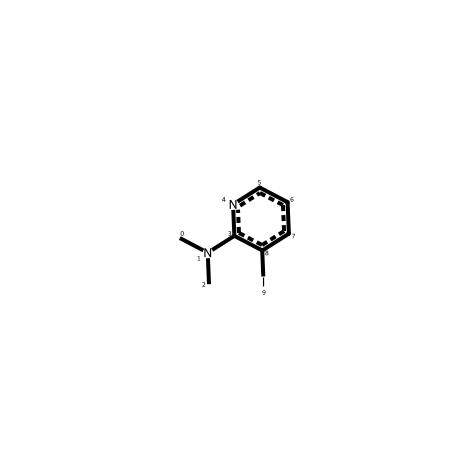 CN(C)c1ncccc1I